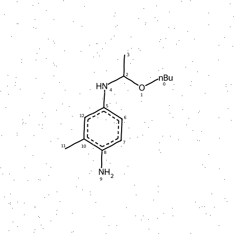 CCCCOC(C)Nc1ccc(N)c(C)c1